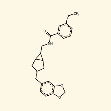 O=C(NCC1C2CN(Cc3ccc4c(c3)OCO4)CC12)c1cccc(OC(F)(F)F)c1